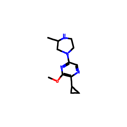 COc1nc(N2CCNC(C)C2)cnc1C1CC1